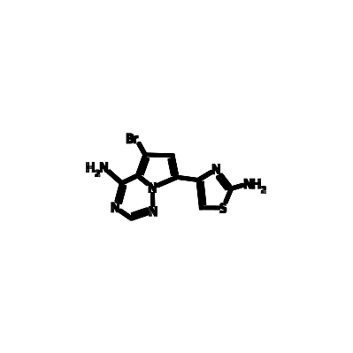 Nc1nc(-c2cc(Br)c3c(N)ncnn23)cs1